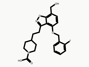 O=C(O)N1CCC(CCc2noc3c(CO)ccc(OCc4ccccc4F)c23)CC1